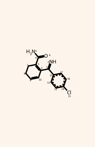 N=C(C1=C(C(N)=O)CCC=C1)c1ccc(Cl)cc1